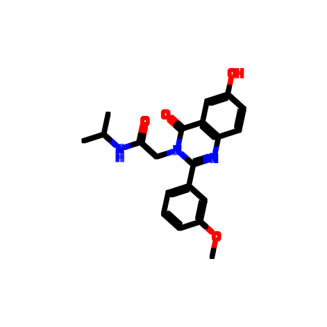 COc1cccc(-c2nc3ccc(O)cc3c(=O)n2CC(=O)NC(C)C)c1